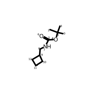 CC(C)(C)OC(=O)NCC1C[CH]C1